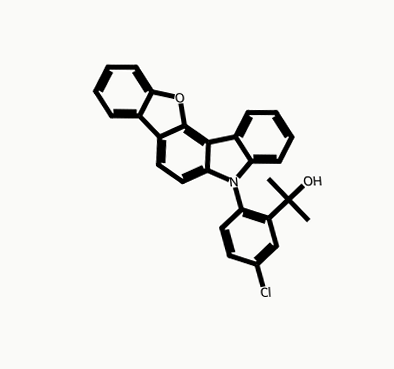 CC(C)(O)c1cc(Cl)ccc1-n1c2ccccc2c2c3oc4ccccc4c3ccc21